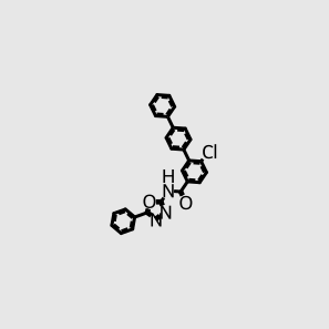 O=C(Nc1nnc(-c2ccccc2)o1)c1ccc(Cl)c(-c2ccc(-c3ccccc3)cc2)c1